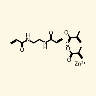 C=C(C)C(=O)[O-].C=C(C)C(=O)[O-].C=CC(=O)NCCNC(=O)C=C.[Zn+2]